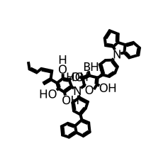 BC(/C(C1=CCC(n2c3ccccc3c3ccccc32)=CC=C1)=C(\C)O)=C(\O)C(=O)N(c1ccc(-c2cccc3ccccc23)cc1)c1c(O)c(O)c(C(=C)/C=C\C=C/C)c(O)c1O